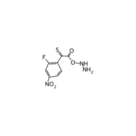 NNOC(=O)C(=S)c1ccc([N+](=O)[O-])cc1F